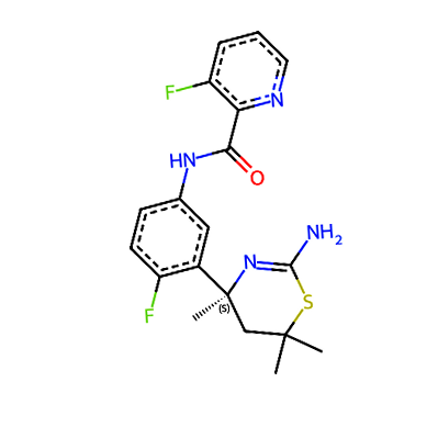 CC1(C)C[C@@](C)(c2cc(NC(=O)c3ncccc3F)ccc2F)N=C(N)S1